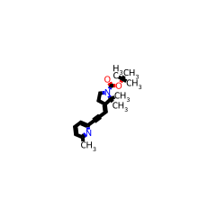 Cc1cccc(C#C/C=C2\CCN(C(=O)OC(C)(C)C)C2(C)C)n1